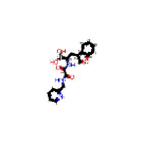 O=C(NCc1ccccn1)C(=O)NC(Cc1coc2ccccc12)B(O)O